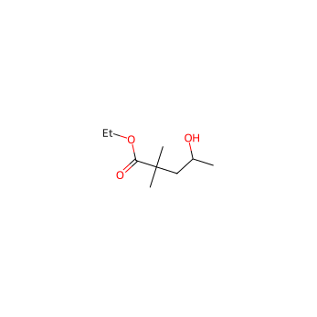 CCOC(=O)C(C)(C)CC(C)O